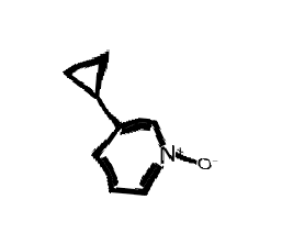 [O-][n+]1cccc(C2CC2)c1